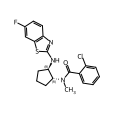 CN(C(=O)c1ccccc1Cl)[C@@H]1CCC[C@H]1Nc1nc2ccc(F)cc2s1